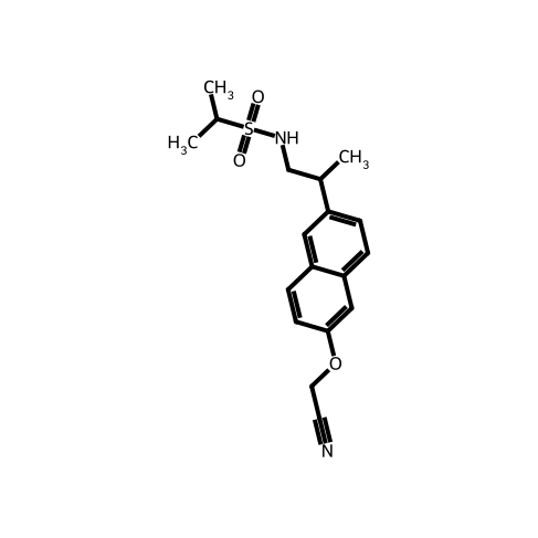 CC(CNS(=O)(=O)C(C)C)c1ccc2cc(OCC#N)ccc2c1